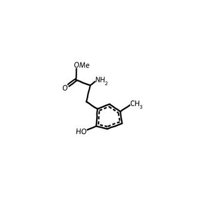 COC(=O)C(N)Cc1cc(C)ccc1O